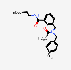 CCCCCCCCCCCCNC(=O)c1cccc(CN(Cc2ccc(C(F)(F)F)cc2)C(=O)C(=O)O)c1